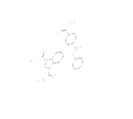 CC(=O)n1cc(C(N)=O)c2ccccc21.O=C(O)c1ccc(NCc2ccccc2)cc1